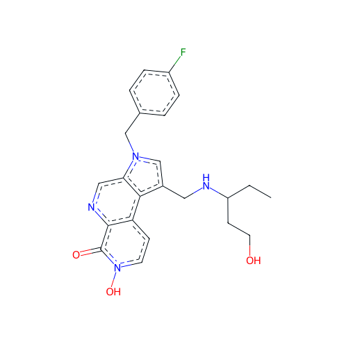 CCC(CCO)NCc1cn(Cc2ccc(F)cc2)c2cnc3c(=O)n(O)ccc3c12